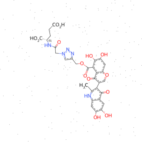 Cc1[nH]c2cc(O)c(O)cc2c(=O)c1-c1coc2cc(O)c(O)c(C(=O)OCc3cn(CC(=O)N[C@@H](CCC(=O)O)C(=O)O)nn3)c2c1=O